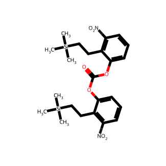 C[Si](C)(C)CCc1c(OC(=O)Oc2cccc([N+](=O)[O-])c2CC[Si](C)(C)C)cccc1[N+](=O)[O-]